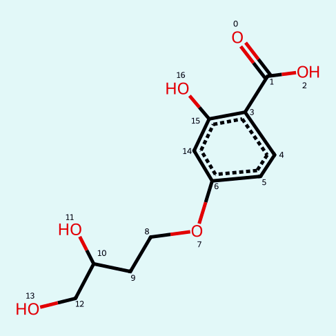 O=C(O)c1ccc(OCCC(O)CO)cc1O